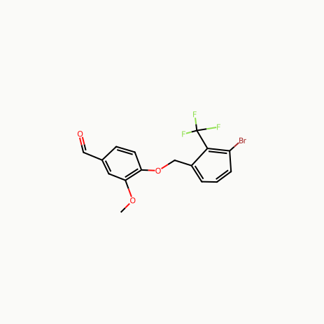 COc1cc(C=O)ccc1OCc1cccc(Br)c1C(F)(F)F